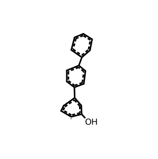 Oc1[c]ccc(-c2ccc(-c3ccccc3)cc2)c1